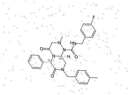 Cc1ccc(CN2C[C@H]3N(C(=O)CN(C)N3C(=O)NCc3ccc(F)cc3)[C@@H](c3ccccc3)C2=O)cc1